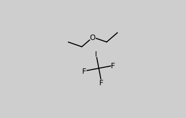 CCOCC.FC(F)(F)I